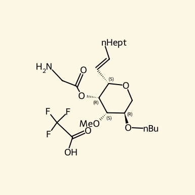 CCCCCCCC=C[C@@H]1OC[C@@H](OCCCC)[C@H](OC)[C@@H]1OC(=O)CN.O=C(O)C(F)(F)F